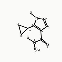 CN(C(=O)c1cnn(C)c1C1CC1)C(C)(C)C